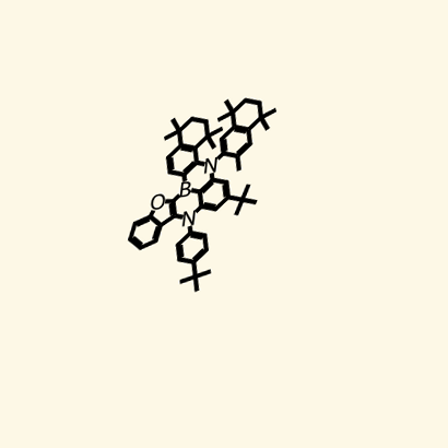 Cc1cc2c(cc1N1c3cc(C(C)(C)C)cc4c3B(c3ccc5c(c31)C(C)(C)CCC5(C)C)c1oc3ccccc3c1N4c1ccc(C(C)(C)C)cc1)C(C)(C)CCC2(C)C